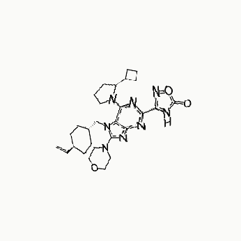 C=C[C@H]1CC[C@H](Cn2c(N3CCOCC3)nc3nc(-c4noc(=O)[nH]4)nc(N4CCCC4C4CCC4)c32)CC1